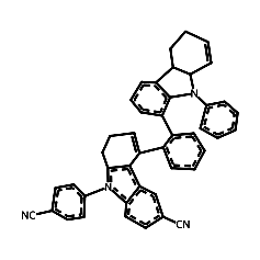 N#Cc1ccc(-n2c3c(c4cc(C#N)ccc42)C(c2ccccc2-c2cccc4c2N(c2ccccc2)C2C=CCCC42)=CCC3)cc1